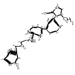 CC1COC(=O)N1c1cc(-c2ccnc(NCOCc3cccc(Cl)c3)n2)ccn1